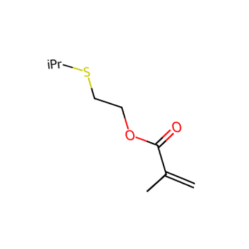 C=C(C)C(=O)OCCSC(C)C